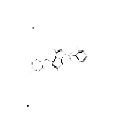 CN1CCN(Cc2cccc3c2c(Cl)cn3S(=O)(=O)c2ccccc2Br)CC1